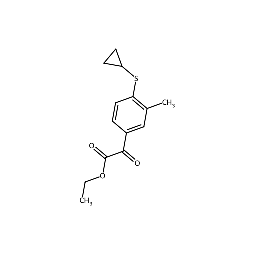 CCOC(=O)C(=O)c1ccc(SC2CC2)c(C)c1